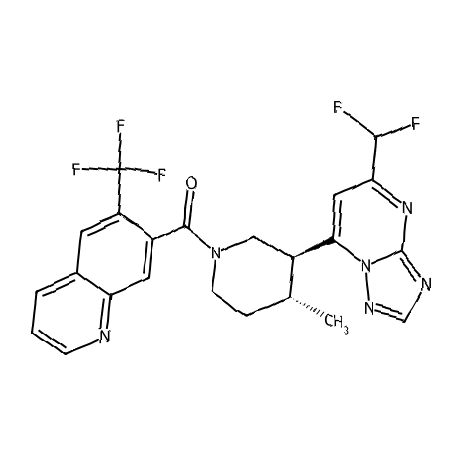 C[C@@H]1CCN(C(=O)c2cc3ncccc3cc2C(F)(F)F)C[C@H]1c1cc(C(F)F)nc2ncnn12